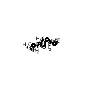 CNc1nc(Nc2ccc(C)c([S+](N)[O-])c2)ncc1C(=O)Nc1cc(NC(=O)c2cccc(C(F)(F)F)c2)ccc1C